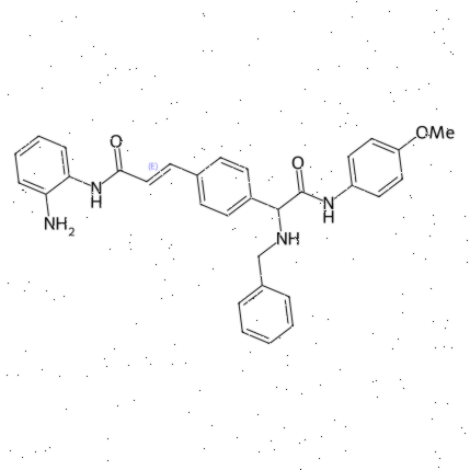 COc1ccc(NC(=O)C(NCc2ccccc2)c2ccc(/C=C/C(=O)Nc3ccccc3N)cc2)cc1